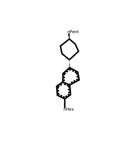 CCCCCCc1ccc2cc([C@H]3CC[C@H](CCCCC)CC3)ccc2c1